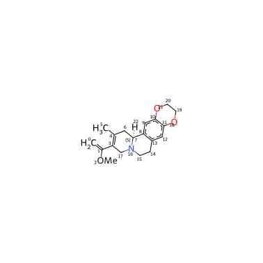 C=C(OC)C1=C(C)C[C@H]2c3cc4c(cc3CCN2C1)OCCO4